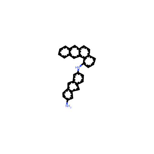 Nc1ccc2cc3cc(Nc4cccc5ccc6cc7ccccc7cc6c45)ccc3cc2c1